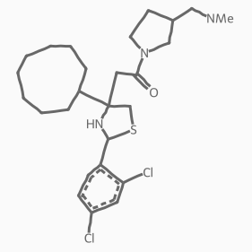 CNCC1CCN(C(=O)CC2(C3CCCCCCCC3)CSC(c3ccc(Cl)cc3Cl)N2)C1